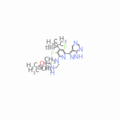 CC(C)[C@](C)(O[Si](C)(C)C)[C@@H]1CN(c2nc(-c3n[nH]c4ncncc34)c(F)c([Si](C)(C)C(C)(C)C)c2F)CCN1